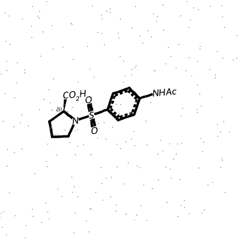 CC(=O)Nc1ccc(S(=O)(=O)N2CCC[C@H]2C(=O)O)cc1